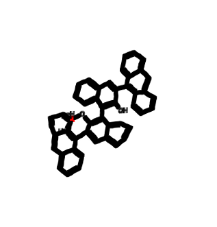 O=[PH](O)Oc1c(-c2c3ccccc3cc3ccccc23)cc2ccccc2c1-c1c(O)c(-c2c3ccccc3cc3ccccc23)cc2ccccc12